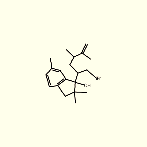 C=C(C)C(C)CC(CC(C)C)C1(O)c2cc(C)ccc2CC1(C)C